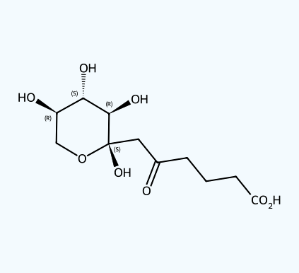 O=C(O)CCCC(=O)C[C@]1(O)OC[C@@H](O)[C@H](O)[C@H]1O